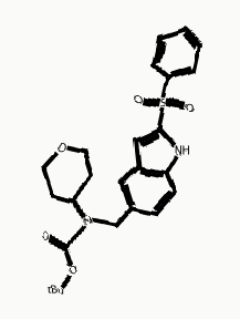 CC(C)(C)OC(=O)N(Cc1ccc2[nH]c(S(=O)(=O)c3ccccc3)cc2c1)C1CCOCC1